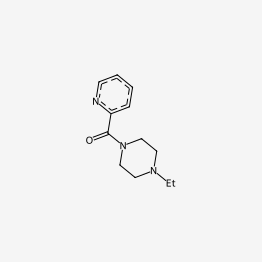 CCN1CCN(C(=O)c2ccccn2)CC1